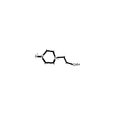 [2H]N1CCN(CCOC)CC1